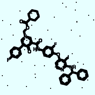 O=C(Nc1ccc(Oc2ccnc(NC(c3ccccc3)c3ccccc3)c2I)c(F)c1)c1cn(COC(=O)C2CCCCC2)cc(-c2ccc(F)cc2)c1=O